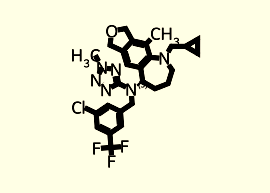 Cc1c2c(cc3c1N(CC1CC1)CCC[C@@H]3N(Cc1cc(Cl)cc(C(F)(F)F)c1)c1nnn(C)n1)COC2